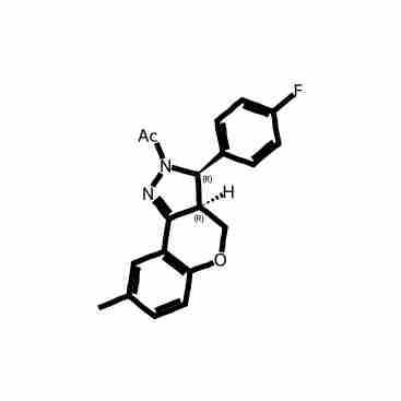 CC(=O)N1N=C2c3cc(C)ccc3OC[C@@H]2[C@@H]1c1ccc(F)cc1